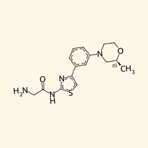 C[C@H]1CN(c2cccc(-c3csc(NC(=O)CN)n3)c2)CCO1